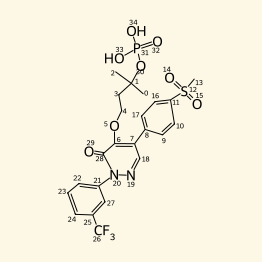 CC(C)(CCOc1c(-c2ccc(S(C)(=O)=O)cc2)cnn(-c2cccc(C(F)(F)F)c2)c1=O)OP(=O)(O)O